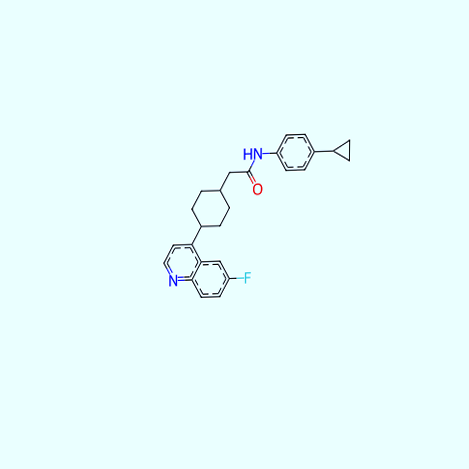 O=C(CC1CCC(c2ccnc3ccc(F)cc23)CC1)Nc1ccc(C2CC2)cc1